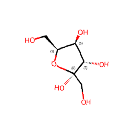 OC[C@@H]1O[C@](O)(CO)[C@@H](O)[C@@H]1O